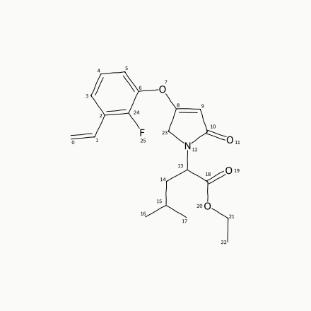 C=Cc1cccc(OC2=CC(=O)N(C(CC(C)C)C(=O)OCC)C2)c1F